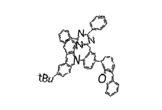 CC(C)(C)c1ccc2c(c1)c1ccccc1n2-c1ccc(-c2cccc3c2oc2ccccc23)cc1-c1nc(-c2ccccc2)nc(-c2ccccc2)n1